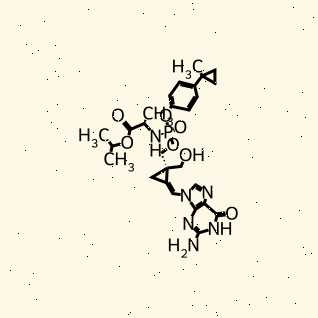 CC(C)OC(=O)[C@H](C)N[P@](=O)(OC[C@@]1(CO)C/C1=C/n1cnc2c(=O)[nH]c(N)nc21)Oc1ccc(C2(C)CC2)cc1